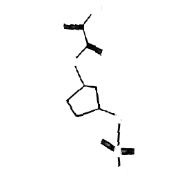 C=C(C)C(=O)OC1CCC(NS(C)(=O)=O)C1